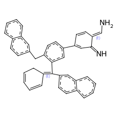 N=C1C=C(c2ccc(Cc3ccc4ccccc4c3)c(/C(=C3/C=CC=CC3)c3ccc4ccccc4c3)c2)C=C/C1=C\N